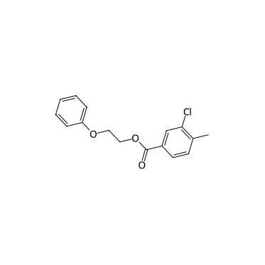 Cc1ccc(C(=O)OCCOc2ccccc2)cc1Cl